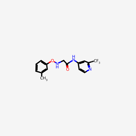 Cc1cccc(ONCC(=O)Nc2ccnc(C(F)(F)F)c2)c1